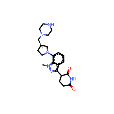 Cn1nc(C2CCC(=O)NC2=O)c2cccc(N3CC[C@@H](CN4CCNCC4)C3)c21